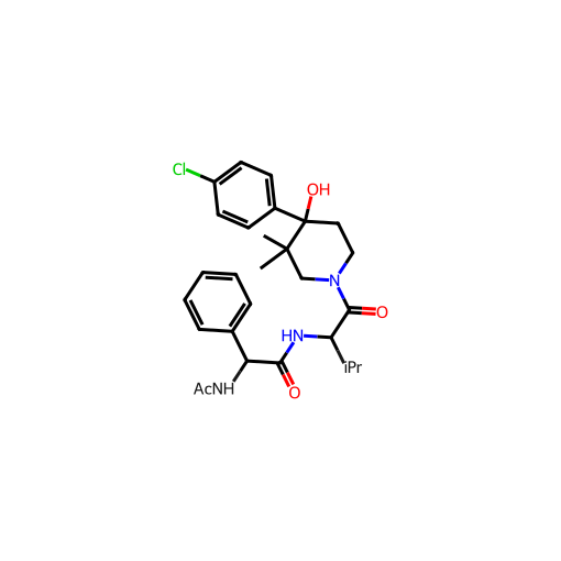 CC(=O)NC(C(=O)NC(C(=O)N1CCC(O)(c2ccc(Cl)cc2)C(C)(C)C1)C(C)C)c1ccccc1